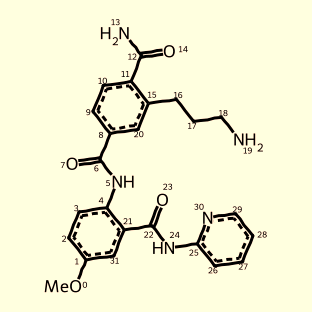 COc1ccc(NC(=O)c2ccc(C(N)=O)c(CCCN)c2)c(C(=O)Nc2ccccn2)c1